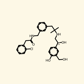 CC(C)(Cc1cccc(CNC(=O)Cc2ccccc2Cl)c1)NC[C@@H](O)c1ccc(O)c(CO)c1